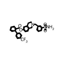 NS(=O)(=O)c1cccc(CN2CCc3cc(OC(=O)c4ccccc4-c4ccc(C(F)(F)F)cc4)ccc3C2)c1